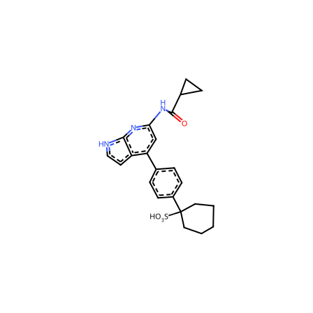 O=C(Nc1cc(-c2ccc(C3(S(=O)(=O)O)CCCCC3)cc2)c2cc[nH]c2n1)C1CC1